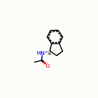 CC(=O)N[C@H]1CCc2ccccc21